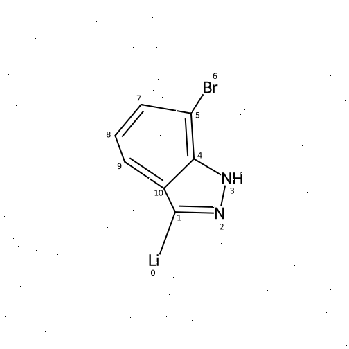 [Li][c]1n[nH]c2c(Br)cccc12